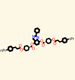 CCCc1ccc(CCC(=O)O[C@H]2CC[C@H](C(=O)Oc3ccc(OC(=O)[C@H]4CC[C@H](OC(=O)CCc5ccc(CCC)cc5)CC4)c4nc(-c5ccccc5)ncc34)CC2)cc1